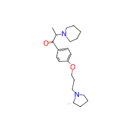 CC(C(=O)c1ccc(OCCCN2CCC[C@@H]2C)cc1)N1CCCCC1